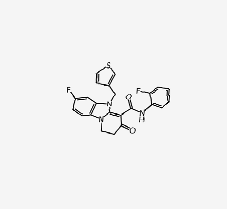 O=C1CCN2C(=C1C(=O)Nc1ccccc1F)N(Cc1ccsc1)c1cc(F)ccc12